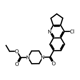 CCOC(=O)N1CCN(C(=O)c2ccc3c(Cl)c4c(nc3c2)CCC4)CC1